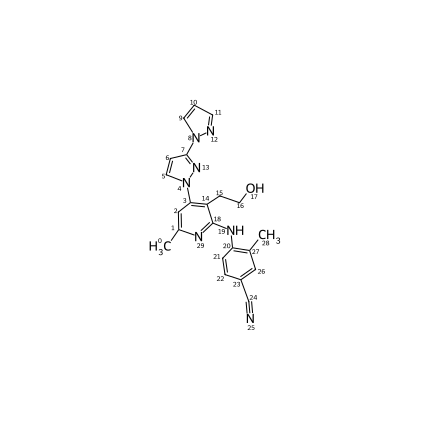 Cc1cc(-n2ccc(-n3cccn3)n2)c(CCO)c(Nc2ccc(C#N)cc2C)n1